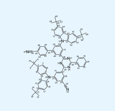 CC(C)(C)c1ccc2c(c1)c1cc(C(C)(C)C)ccc1n2-c1cc(C#N)cc(-c2nc(-c3ccccc3)nc(-c3cc(-c4ccc(C#N)cc4)cc(-n4c5ccc(C(C)(C)C)cc5c5cc(C(C)(C)C)ccc54)c3)n2)c1